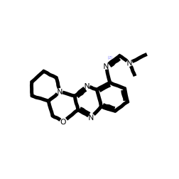 CN(C)/C=N\c1cccc2nc3c(nc12)N1CCCCC1CO3